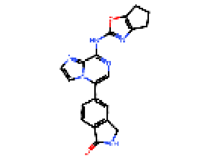 O=C1NCc2cc(-c3cnc(Nc4nc5c(o4)CCC5)c4nccn34)ccc21